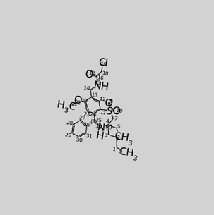 CCCC[C@]1(CC)CS(=O)(=O)c2cc(CNC(=O)CCl)c(OC)cc2[C@@H](c2ccccc2)N1